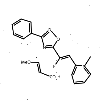 COC=CC(=O)O.Cc1ccccc1C=C(F)c1nc(-c2ccccc2)no1